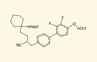 CCCCCCCCOc1ccc(-c2ccc(CC(C#N)CCC3(CCCCCCC)CCCCC3)cc2)c(F)c1F